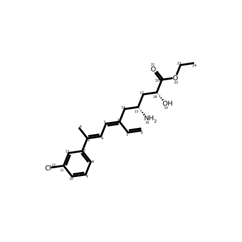 C=C/C(=C\C=C(/C)c1cccc(Cl)c1)C[C@@H](N)C[C@@H](O)C(=O)OCC